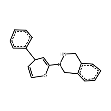 C1=CC(c2ccccc2)C=C(N2Cc3ccccc3CN2)O1